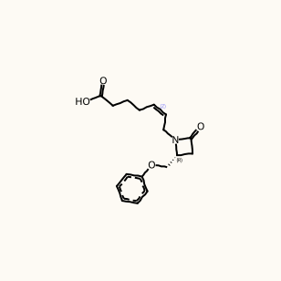 O=C(O)CCC/C=C\CN1C(=O)C[C@@H]1COc1ccccc1